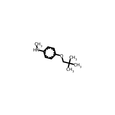 CNc1ccc(OCC(C)(C)C)cc1